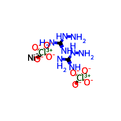 N=C(N)NN.N=C(N)NN.[Ni+2].[O-][Cl+3]([O-])([O-])[O-].[O-][Cl+3]([O-])([O-])[O-]